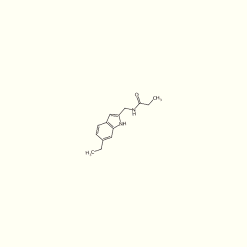 CCC(=O)NCc1cc2ccc(CC)cc2[nH]1